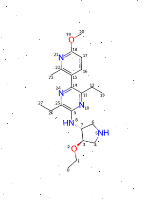 CCO[C@@H]1CNC[C@H]1Nc1nc(CC)c(-c2ccc(OC)nc2C)nc1CC